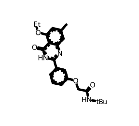 CCOc1cc(C)cc2nc(-c3cccc(OCC(=O)NC(C)(C)C)c3)[nH]c(=O)c12